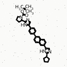 CC(C)(C)OC(=O)N1CCCC1c1ncc(-c2ccc(-c3ccc4cc(-c5cnc(C6CCCC6)[nH]5)ccc4c3)cc2)[nH]1